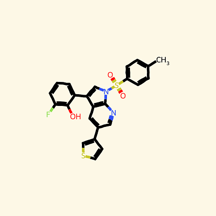 Cc1ccc(S(=O)(=O)n2cc(-c3cccc(F)c3O)c3cc(-c4ccsc4)cnc32)cc1